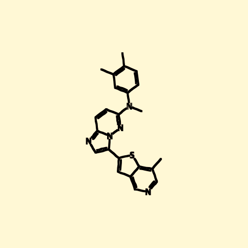 Cc1ccc(N(C)c2ccc3ncc(-c4cc5cncc(C)c5s4)n3n2)cc1C